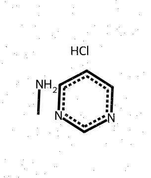 CN.Cl.c1cncnc1